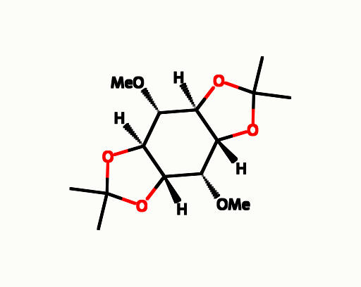 CO[C@@H]1[C@H]2OC(C)(C)O[C@@H]2[C@H](OC)[C@@H]2OC(C)(C)O[C@@H]12